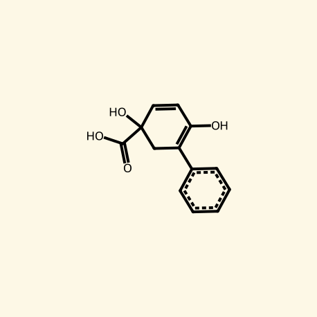 O=C(O)C1(O)C=CC(O)=C(c2ccccc2)C1